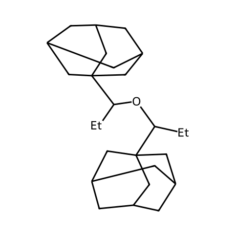 CCC(OC(CC)C12CC3CC(CC(C3)C1)C2)C12CC3CC(CC(C3)C1)C2